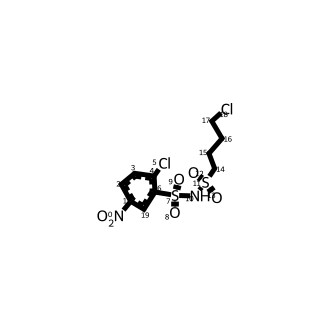 O=[N+]([O-])c1ccc(Cl)c(S(=O)(=O)NS(=O)(=O)CCCCCl)c1